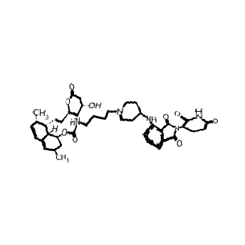 C[C@H]1C=C2C=C[C@H](C)[C@H](CC[C@@H]3C[C@@H](O)CC(=O)O3)[C@H]2[C@@H](OC(=O)NCCCCN2CCC(Nc3cccc4c3C(=O)N(C3CCC(=O)NC3=O)C4=O)CC2)C1